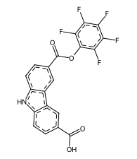 O=C(O)c1ccc2[nH]c3ccc(C(=O)Oc4c(F)c(F)c(F)c(F)c4F)cc3c2c1